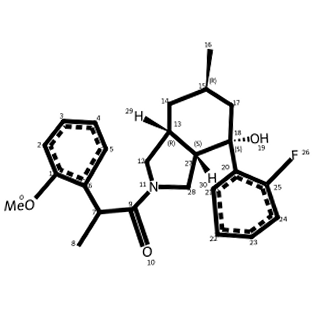 COc1ccccc1C(C)C(=O)N1C[C@@H]2C[C@@H](C)C[C@@](O)(c3ccccc3F)[C@@H]2C1